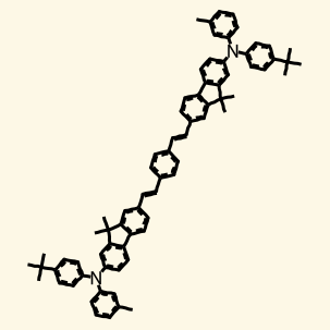 Cc1cccc(N(c2ccc(C(C)(C)C)cc2)c2ccc3c(c2)C(C)(C)c2cc(/C=C/c4ccc(/C=C/c5ccc6c(c5)C(C)(C)c5cc(N(c7ccc(C(C)(C)C)cc7)c7cccc(C)c7)ccc5-6)cc4)ccc2-3)c1